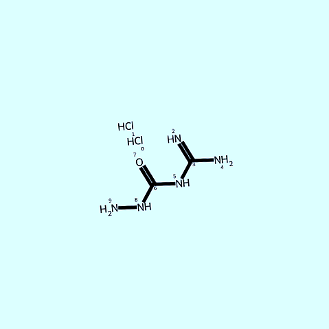 Cl.Cl.N=C(N)NC(=O)NN